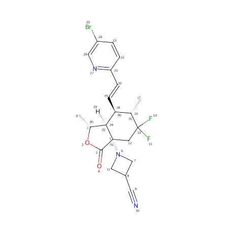 C[C@H]1OC(=O)[C@]2(N3CC(C#N)C3)CC(F)(F)[C@@H](C)[C@H](C=Cc3ccc(Br)cn3)[C@H]12